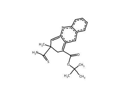 CC(C)(C)OC(=O)C1=c2cc3ccccc3nc2=CC(C)(C(N)=S)C1